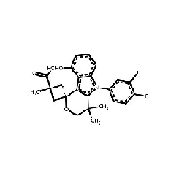 CC1(C)CO[C@]2(C[C@@](C)(C(=O)O)C2)c2c1n(-c1ccc(F)c(F)c1)c1cccc(O)c12